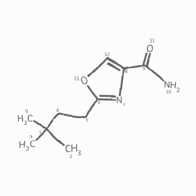 CC(C)(C)CCc1nc(C(N)=O)co1